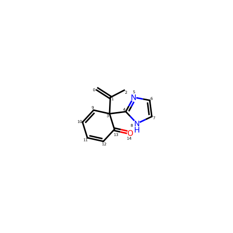 C=C(C)C1(c2ncc[nH]2)C=CC=CC1=O